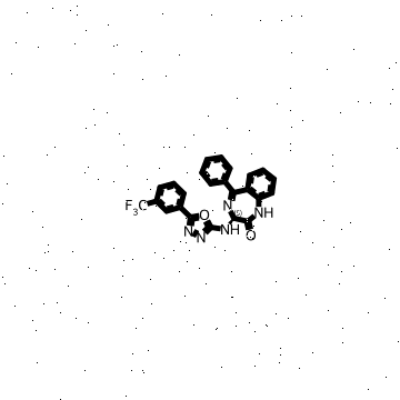 O=C1Nc2ccccc2C(c2ccccc2)=N[C@@H]1Nc1nnc(-c2cccc(C(F)(F)F)c2)o1